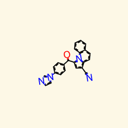 N#Cc1cc(C(=O)c2ccc(-n3ccnc3)cc2)n2c1ccc1ccccc12